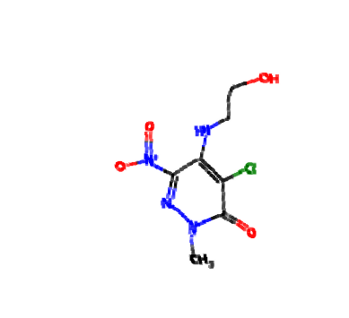 Cn1nc([N+](=O)[O-])c(NCCO)c(Cl)c1=O